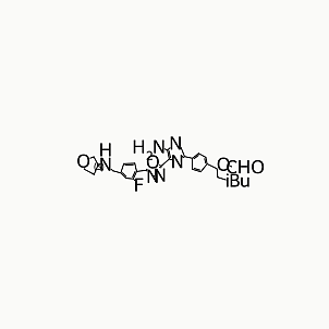 CCC(C)CC(OC=O)c1ccc(-c2cnc(N)c(-c3nnc(-c4ccc(CN[C@H]5CCOC5)cc4F)o3)n2)cc1